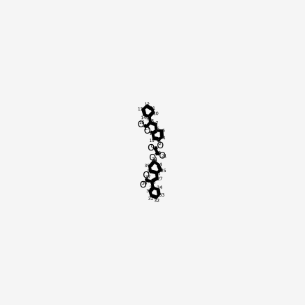 O=C(Oc1ccc2cc(-c3ccccc3)c(=O)oc2c1)C(=O)Oc1ccc2cc(-c3ccccc3)c(=O)oc2c1